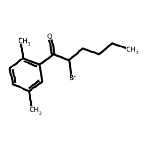 CCCCC(Br)C(=O)c1cc(C)ccc1C